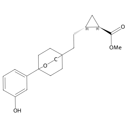 COC(=O)[C@@H]1C[C@H]1CCC12CCC(c3cccc(O)c3)(CC1)OC2